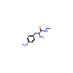 CCNC(=O)C(N)Cc1ccc(N)cc1